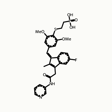 COc1cc(/C=C2/C(C)=C(CC(=O)Nc3cccnc3)c3cc(F)ccc32)cc(OC)c1SCCP(=O)(O)O